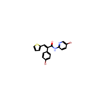 O=C(Nc1ccc(Br)cn1)C(=Cc1cccs1)c1ccc(Br)cc1